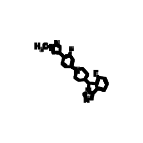 Cn1cc(-c2ccc(N3CCC(C4c5c(F)cccc5-c5cncn54)CC3)cc2F)cn1